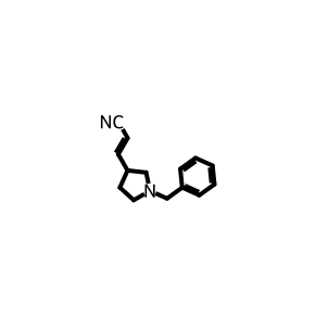 N#CC=CC1CCN(Cc2ccccc2)C1